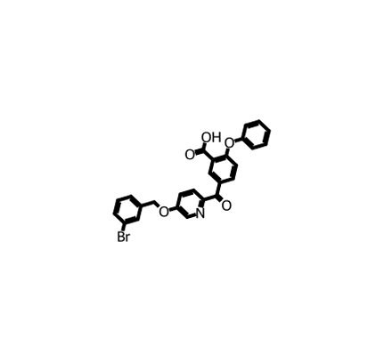 O=C(c1ccc(Oc2ccccc2)c(C(=O)O)c1)c1ccc(OCc2cccc(Br)c2)cn1